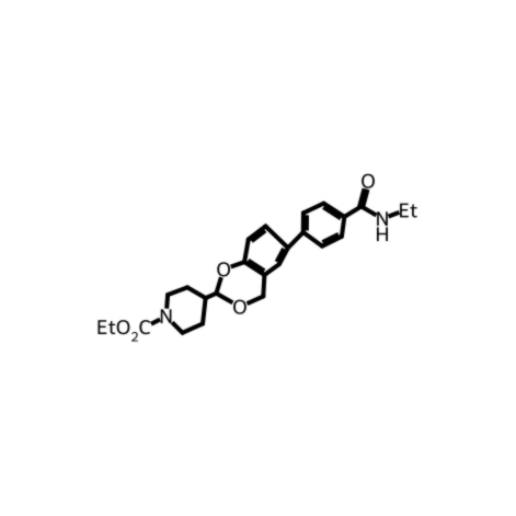 CCNC(=O)c1ccc(-c2ccc3c(c2)COC(C2CCN(C(=O)OCC)CC2)O3)cc1